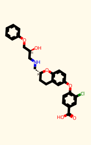 O=C(O)c1ccc(Oc2ccc3c(c2)CC[C@H](CNC[C@H](O)COc2ccccc2)O3)c(Cl)c1